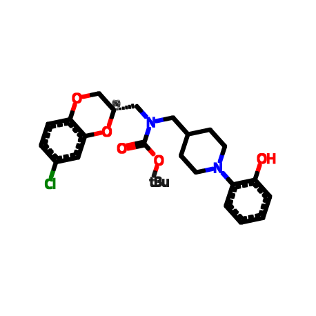 CC(C)(C)OC(=O)N(CC1CCN(c2ccccc2O)CC1)C[C@H]1COc2ccc(Cl)cc2O1